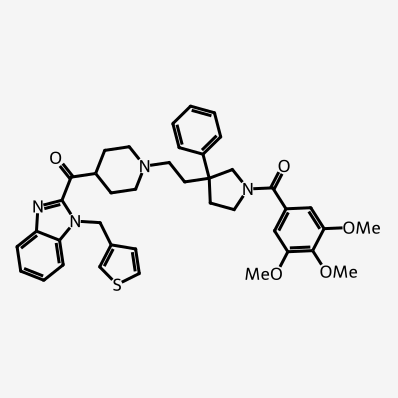 COc1cc(C(=O)N2CCC(CCN3CCC(C(=O)c4nc5ccccc5n4Cc4ccsc4)CC3)(c3ccccc3)C2)cc(OC)c1OC